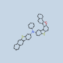 c1ccc(N(c2ccc3c(c2)sc2cc4ccccc4cc23)c2ccc3sc4ccc5oc6c7ccccc7ccc6c5c4c3c2)cc1